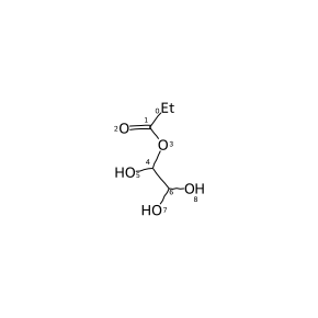 CCC(=O)OC(O)C(O)O